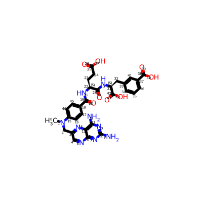 CN(Cc1cnc2nc(N)nc(N)c2n1)c1ccc(C(=O)N[C@@H](CCC(=O)O)C(=O)N[C@@H](Cc2cccc(C(=O)O)c2)C(=O)O)cc1